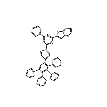 c1ccc(-c2nc(-c3ccc(-c4cc(-c5ccccc5)c(-c5ccccc5)c(-c5ccccc5)c4-c4ccccc4)cc3)nc(-c3cc4ccccc4s3)n2)cc1